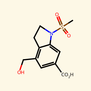 CS(=O)(=O)N1CCc2c(CO)cc(C(=O)O)cc21